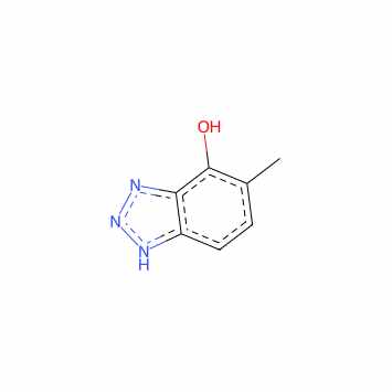 Cc1ccc2[nH]nnc2c1O